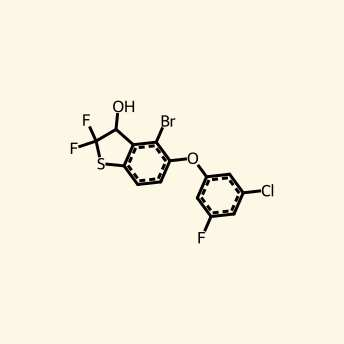 OC1c2c(ccc(Oc3cc(F)cc(Cl)c3)c2Br)SC1(F)F